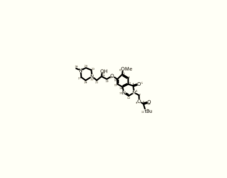 COc1cc2c(=O)n(COC(=O)C(C)(C)C)cnc2cc1OCC(O)CN1CCN(C)CC1